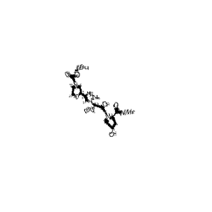 CNC(=O)[C@H]1C[C@H](O)CN1C(=O)[C@@H](n1cc(C2CN(C(=O)OC(C)(C)C)CCO2)nn1)C(C)(C)C